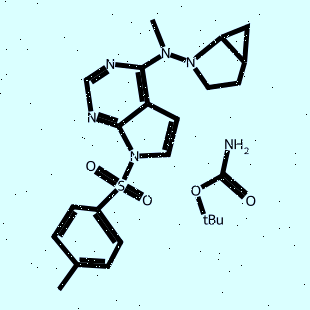 CC(C)(C)OC(N)=O.Cc1ccc(S(=O)(=O)n2ccc3c(N(C)N4CCC5CC54)ncnc32)cc1